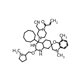 C=CC(=O)N1CCN(C2(C3CCCCCCC3)NC(OCC3CCCN3C)NC3C[C@]4(CCC32)CN(C)c2cccc(C)c2O4)CC1CC#N